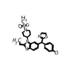 CCc1nc2ccc(C(c3ccc(Cl)cc3)c3nccs3)cc2n1C1CCN(S(C)(=O)=O)CC1